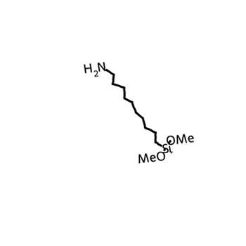 CO[Si](C)(CCCCCCCCCCN)OC